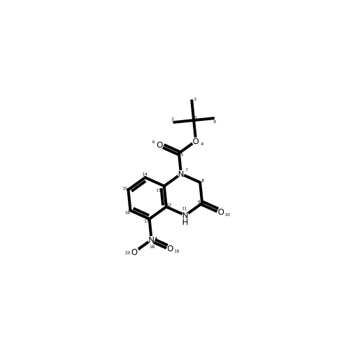 CC(C)(C)OC(=O)N1CC(=O)Nc2c1cccc2[N+](=O)[O-]